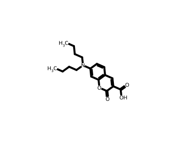 CCCCN(CCCC)c1ccc2cc(C(=O)O)c(=O)oc2c1